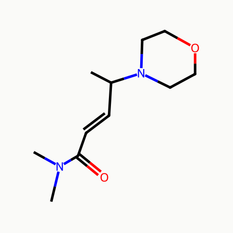 CC(C=CC(=O)N(C)C)N1CCOCC1